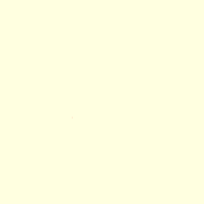 CCN(C(C)C)C(CC(N)=O)C(=O)O